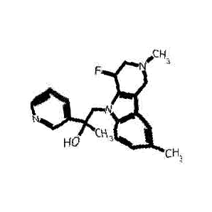 Cc1ccc2c(c1)c1c(n2CC(C)(O)c2cccnc2)C(F)CN(C)C1